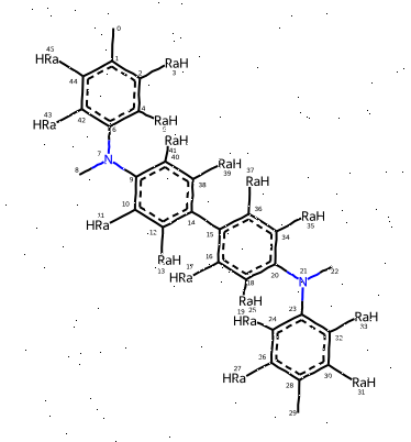 Cc1[c]([RaH])[c]([RaH])c(N(C)c2[c]([RaH])[c]([RaH])c(-c3[c]([RaH])[c]([RaH])c(N(C)c4[c]([RaH])[c]([RaH])c(C)[c]([RaH])[c]4[RaH])[c]([RaH])[c]3[RaH])[c]([RaH])[c]2[RaH])[c]([RaH])[c]1[RaH]